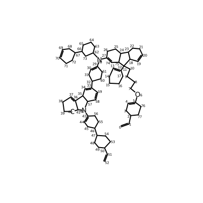 C=CC1CC=C(OCCCCC2(C3=CCCCC3)C3C=CCCC3C3CCC(N(C4=CCC(C5=CC6C7=CCCCC7N(C7=CCC(C8CCC(C=C)CC8)CC7)C6C=C5)CC4)C4CCCC(C5CC=CCC5)C4)=CC32)CC1